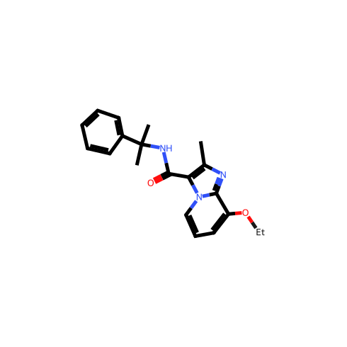 CCOc1cccn2c(C(=O)NC(C)(C)c3ccccc3)c(C)nc12